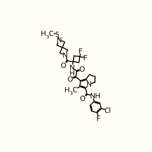 CSN1CC2(C1)CN(C(=O)C1(NC(=O)C(=O)c3c(C)c(C(=O)Nc4ccc(F)c(Cl)c4)n4c3CCC4)CC(F)(F)C1)C2